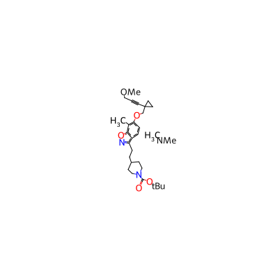 CNC.COCC#CC1(COc2ccc3c(CCC4CCN(C(=O)OC(C)(C)C)CC4)noc3c2C)CC1